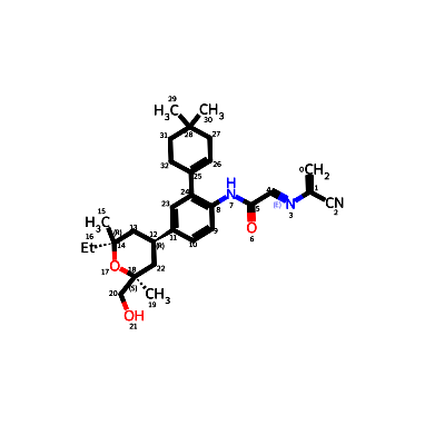 C=C(C#N)/N=C/C(=O)Nc1ccc([C@@H]2C[C@@](C)(CC)O[C@](C)(CO)C2)cc1C1=CCC(C)(C)CC1